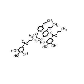 C/C=C/c1ccc(OC)cc1.C/C=C/c1ccc(OC)cc1.CCCOC(=O)c1cc(O)c(O)c(O)c1.CCCOC(=O)c1cc(O)c(O)c(O)c1